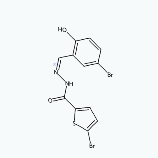 O=C(N/N=C\c1cc(Br)ccc1O)c1ccc(Br)s1